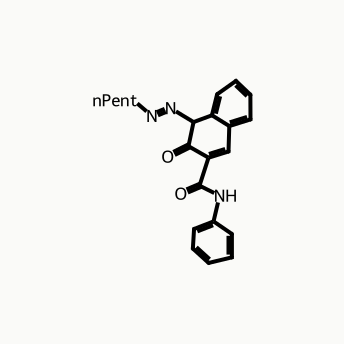 CCCCCN=NC1C(=O)C(C(=O)Nc2ccccc2)=Cc2ccccc21